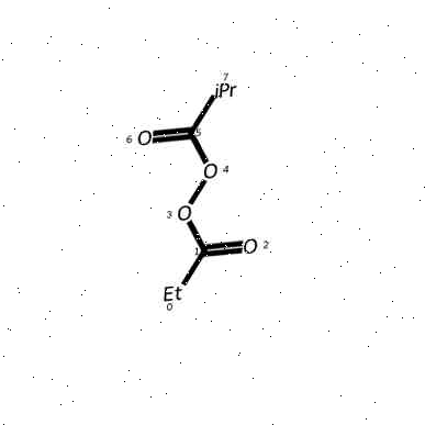 CCC(=O)OOC(=O)C(C)C